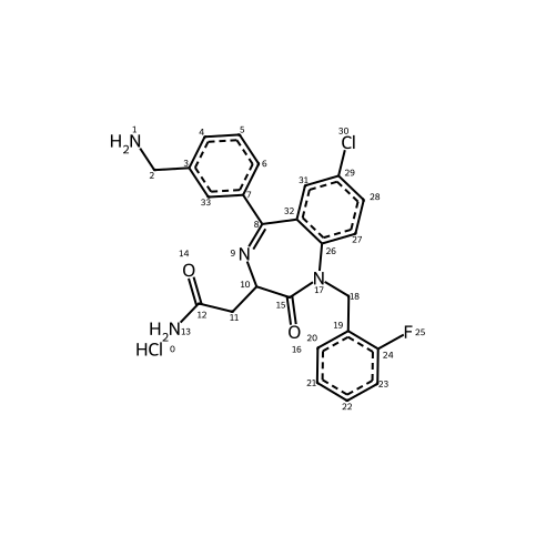 Cl.NCc1cccc(C2=NC(CC(N)=O)C(=O)N(Cc3ccccc3F)c3ccc(Cl)cc32)c1